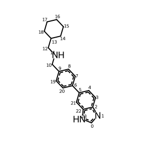 c1nc2ccc(-c3ccc(CNCC4CCCCC4)cc3)cc2[nH]1